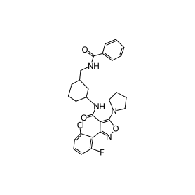 O=C(NCC1CCCC(NC(=O)c2c(-c3c(F)cccc3Cl)noc2N2CCCC2)C1)c1ccccc1